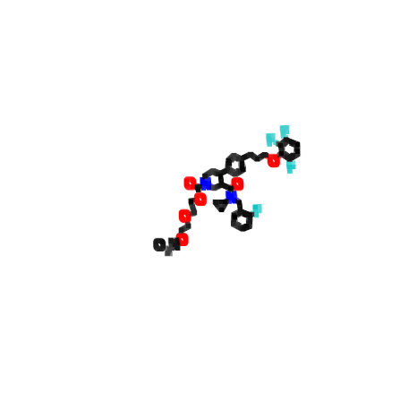 O=C(OCCOCCO[N+](=O)[O-])N1CC=C(c2ccc(CCCOc3c(F)ccc(F)c3F)cc2)C(C(=O)N(Cc2ccccc2F)C2CC2)C1